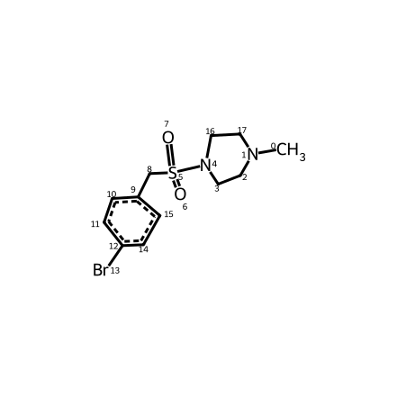 CN1CCN(S(=O)(=O)Cc2ccc(Br)cc2)CC1